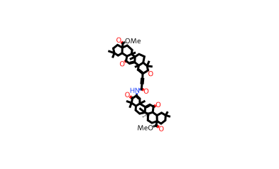 COC(=O)C12CCC(C)(C)CC1C1C(=O)C=C3C4(C)C=C(C#CC(=O)NC5=CC6(C)C7=CC(=O)C8C9CC(C)(C)CCC9(C(=O)OC)CC[C@@]8(C)C7(C)CCC6C(C)(C)C5=O)C(=O)C(C)(C)C4CCC3(C)C1(C)CC2